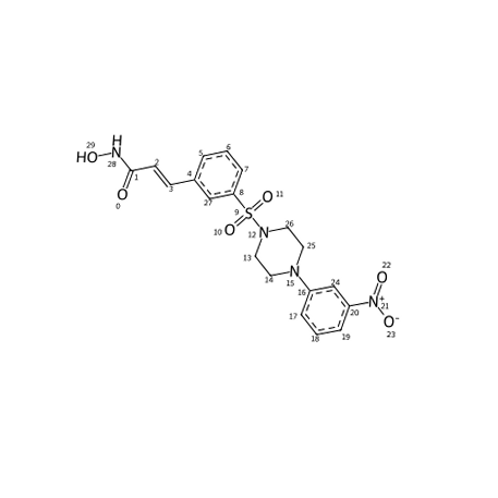 O=C(/C=C/c1cccc(S(=O)(=O)N2CCN(c3cccc([N+](=O)[O-])c3)CC2)c1)NO